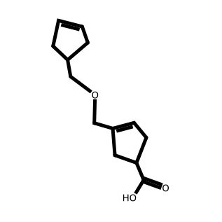 O=C(O)C1CC=C(COCC2CC=CC2)C1